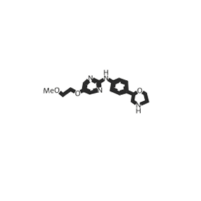 COCCOc1cnc(Nc2ccc(C3CNCCO3)cc2)nc1